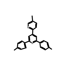 Cc1ccc(-c2cc(-c3ccc(C)cn3)cc(-c3ccc(C)cc3)n2)cc1